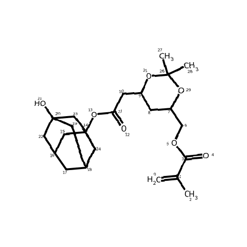 C=C(C)C(=O)OCC1CC(CC(=O)OC23CC4CC(CC(O)(C4)C2)C3)OC(C)(C)O1